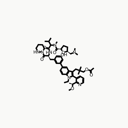 CCn1c(-c2cccnc2[C@H](C)OC)c(CC(C)(C)COC(C)=O)c2cc(-c3cc(O)cc(C[C@H](NC(=O)C(C(C)C)N(C)C(=O)[C@H]4CC[C@@H](CN(C)C)O4)C(=O)N4CCCCN4)c3)ccc21